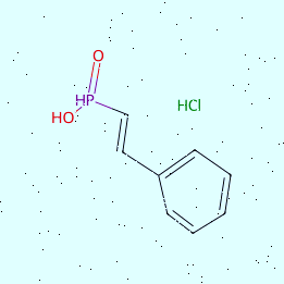 Cl.O=[PH](O)C=Cc1ccccc1